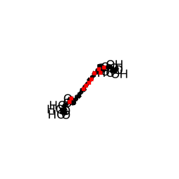 CC1=C(/C=C/C(C)=C/C=C/C(C)=C/C=C/C=C(C)/C=C/C=C(C)/C=C/C2=C(C)C(=O)C(OCC(O)C3OC(=O)C(O)=C3O)CC2(C)C)C(C)(C)CC(OCC(O)C2OC(=O)C(O)=C2O)C1=O